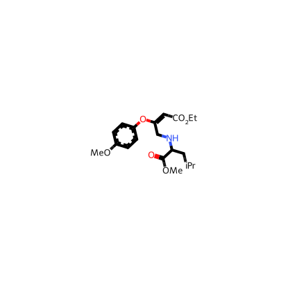 CCOC(=O)C=C(CNC(CC(C)C)C(=O)OC)Oc1ccc(OC)cc1